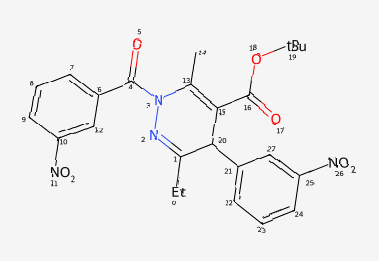 CCC1=NN(C(=O)c2cccc([N+](=O)[O-])c2)C(C)=C(C(=O)OC(C)(C)C)C1c1cccc([N+](=O)[O-])c1